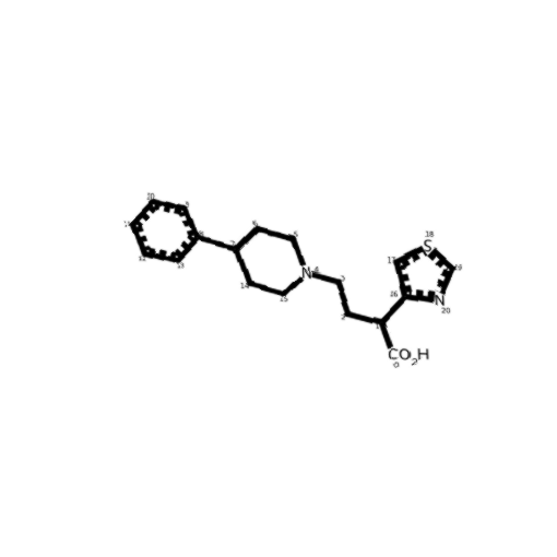 O=C(O)C(CCN1CCC(c2ccccc2)CC1)c1cscn1